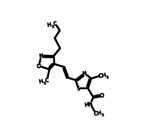 CCCCc1noc(C)c1/C=C/c1nc(C)c(C(=O)NC)s1